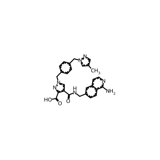 Cc1cnn(Cc2ccc(Cn3cc(C(=O)NCc4ccc5c(N)nccc5c4)c(C(=O)O)n3)cc2)c1